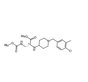 COC(=O)[C@@H](CNC(=O)OC(C)(C)C)NC1CCN(Cc2ccc(Cl)c(C)c2)CC1